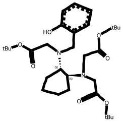 CC(C)(C)OC(=O)CN(CC(=O)OC(C)(C)C)[C@H]1CCCC[C@@H]1N(CC(=O)OC(C)(C)C)Cc1ccccc1O